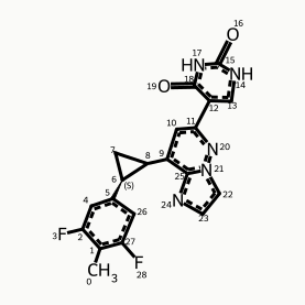 Cc1c(F)cc([C@H]2CC2c2cc(-c3c[nH]c(=O)[nH]c3=O)nn3ccnc23)cc1F